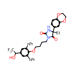 CCCc1cc(C(O)C(F)(F)F)cc(CCC)c1OCCCCN1C(=O)NC(CC)(c2ccc3c(c2)OCCO3)C1=O